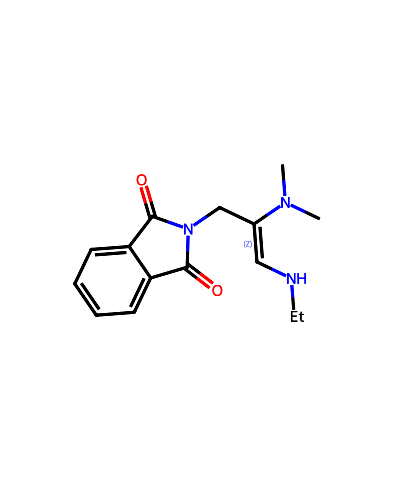 CCN/C=C(/CN1C(=O)c2ccccc2C1=O)N(C)C